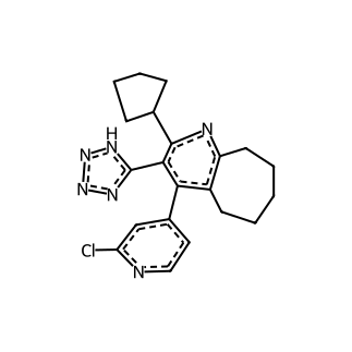 Clc1cc(-c2c3c(nc(C4CCCC4)c2-c2nnn[nH]2)CCCCC3)ccn1